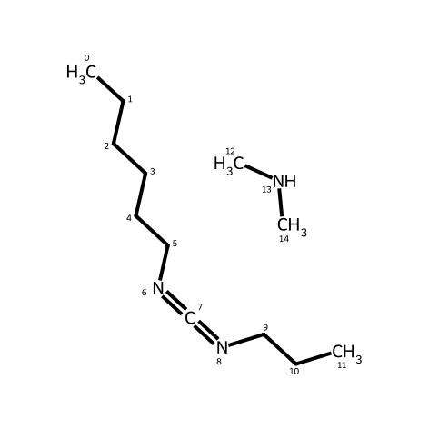 CCCCCCN=C=NCCC.CNC